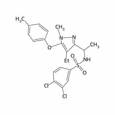 CCc1c(C(C)NS(=O)(=O)c2ccc(Cl)c(Cl)c2)nn(C)c1Oc1ccc(C)cc1